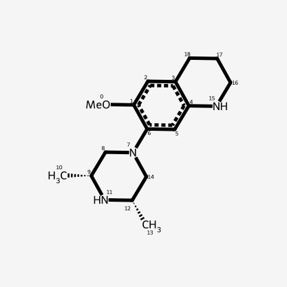 COc1cc2c(cc1N1C[C@@H](C)N[C@@H](C)C1)NCCC2